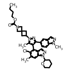 CCCCOC(=O)N1CC2(CC(n3nc(-c4ccc5c(cnn5C)c4)c(-c4c(Cl)c(C)cc5c4cnn5C4CCCCO4)c3C)C2)C1